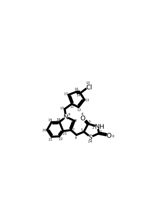 O=C1NC(=O)C(Cc2cn(Cc3ccc(Cl)cc3)c3ccccc23)S1